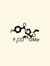 C=CC[C@H]1CN(C(=O)c2ccc(F)cc2)C[C@@]1(N=COC(F)(F)F)C(=O)OC